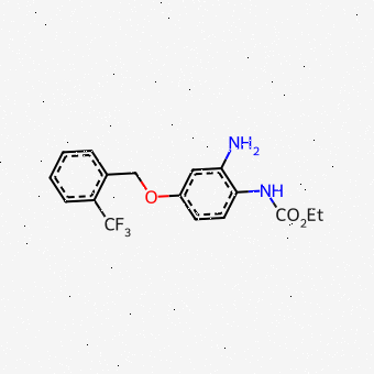 CCOC(=O)Nc1ccc(OCc2ccccc2C(F)(F)F)cc1N